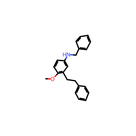 COc1ccc(NCc2ccccc2)cc1CCc1ccccc1